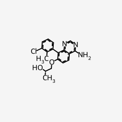 Cc1c(Cl)cccc1-c1c(OC[C@@H](C)O)ccc2c(N)ncnc12